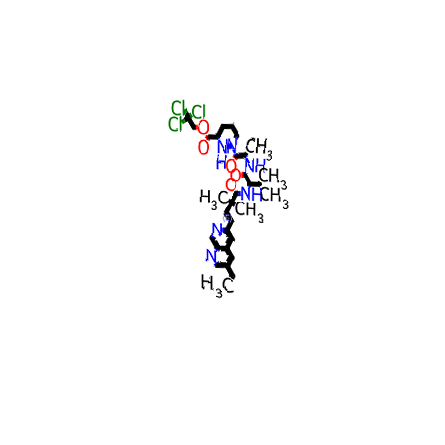 CCc1cnc2cnc(/C=C/C(C)(C)C(=O)NC(C(=O)NC(C)C(=O)N3CCCC(C(=O)OCC(Cl)(Cl)Cl)N3)C(C)C)cc2c1